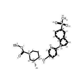 CC(C)(C)OC(=O)N1CC[C@H](Oc2ccc(-n3ccc4cc(S(C)(=O)=O)ccc43)nc2)[C@H](F)C1